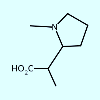 CC(C(=O)O)C1CCCN1C